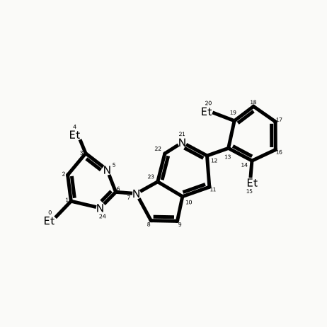 CCc1cc(CC)nc(-n2ccc3cc(-c4c(CC)cccc4CC)ncc32)n1